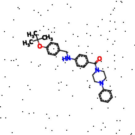 CC(C)(C)Oc1ccc(CNc2ccc(C(=O)N3CCN(c4ccccc4)CC3)cc2)cc1